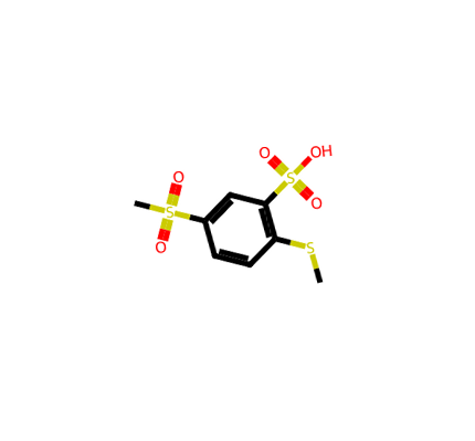 CSc1ccc(S(C)(=O)=O)cc1S(=O)(=O)O